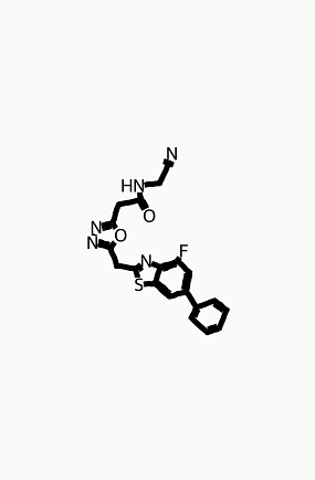 N#CCNC(=O)Cc1nnc(Cc2nc3c(F)cc(-c4ccccc4)cc3s2)o1